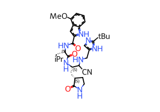 COc1cccc2[nH]c(C(=O)N[C@@H](CC(C)C)C(=O)N[C@@H](C[C@@H]3CCNC3=O)C(C#N)NCc3cnc(C(C)(C)C)[nH]3)cc12